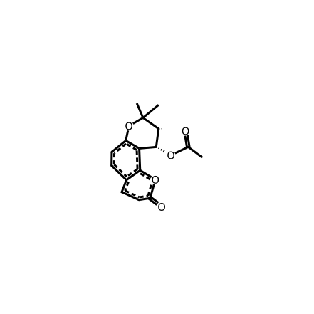 CC(=O)O[C@H]1[CH]C(C)(C)Oc2ccc3ccc(=O)oc3c21